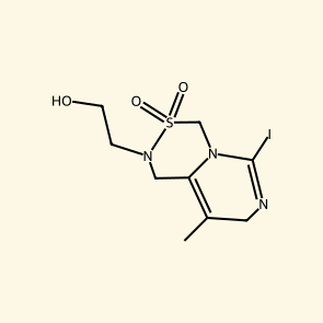 CC1=C2CN(CCO)S(=O)(=O)CN2C(I)=NC1